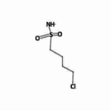 [NH]S(=O)(=O)CCCCCl